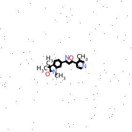 Cc1cnccc1-c1cc(-c2ccc3c(c2)N(C)C(=O)C3(C)C)no1